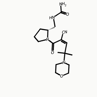 CC(C)(C=C(C#N)C(=O)N1CCC[C@@H]1CNC(N)=O)N1CCOCC1